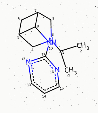 CC(C)N1CC2CC(C1)C2Nc1ncccn1